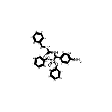 Nc1ccc(C(NC(=O)OCc2ccccc2)P(=O)(Oc2ccccc2)Oc2ccccc2)cc1